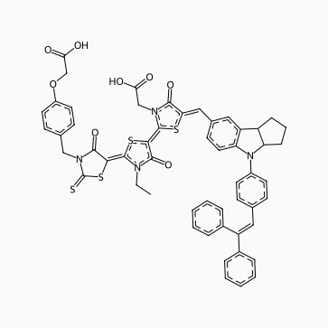 CCn1c(=O)/c(=c2\s/c(=C\c3ccc4c(c3)C3CCCC3N4c3ccc(C=C(c4ccccc4)c4ccccc4)cc3)c(=O)n2CC(=O)O)s/c1=C1/SC(=S)N(Cc2ccc(OCC(=O)O)cc2)C1=O